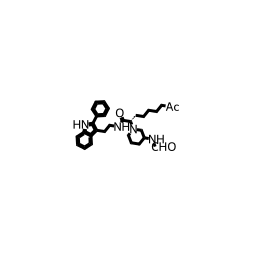 CC(=O)CCCCC[C@@H](C(=O)NCCc1c(-c2ccccc2)[nH]c2ccccc12)N1CCCC(NC=O)C1